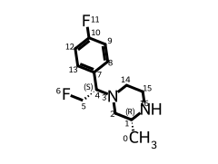 C[C@@H]1CN([C@H](CF)c2ccc(F)cc2)CCN1